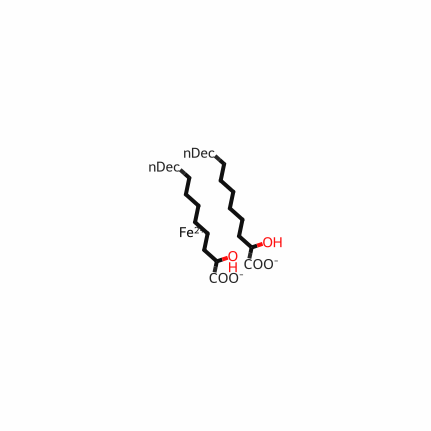 CCCCCCCCCCCCCCCCC(O)C(=O)[O-].CCCCCCCCCCCCCCCCC(O)C(=O)[O-].[Fe+2]